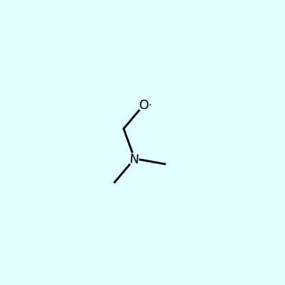 CN(C)C[O]